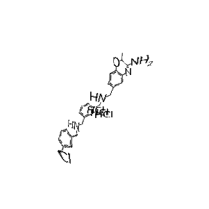 CC1Oc2ccc(CNCc3cccc(CNCc4cccc(Cl)c4)c3)cc2N=C1N.Cl.Cl.Cl